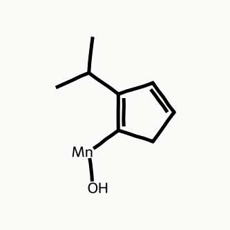 CC(C)C1=[C]([Mn][OH])CC=C1